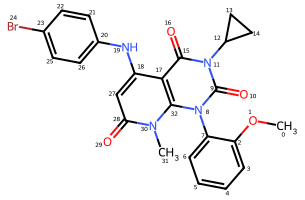 COc1ccccc1-n1c(=O)n(C2CC2)c(=O)c2c(Nc3ccc(Br)cc3)cc(=O)n(C)c21